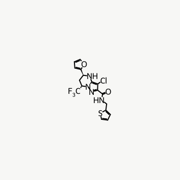 O=C(NCc1cccs1)c1nn2c(c1Cl)N[C@H](c1ccco1)C[C@@H]2C(F)(F)F